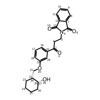 O=C(CCN1C(=O)c2ccccc2C1=O)c1cccc(OC[C@H]2CCCC[C@H]2O)c1